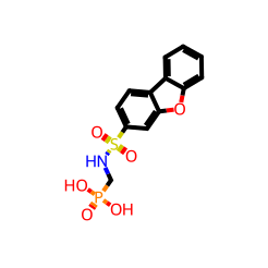 O=P(O)(O)CNS(=O)(=O)c1ccc2c(c1)oc1ccccc12